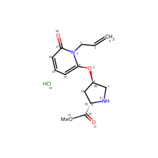 C=CCn1c(O[C@H]2CN[C@H](C(=O)OC)C2)cccc1=O.Cl